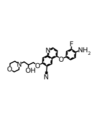 N#Cc1cc2c(Oc3ccc(N)c(F)c3)ccnc2cc1OCC(O)CN1CCOCC1